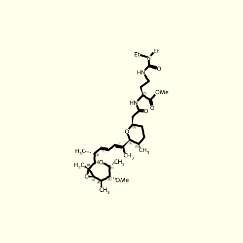 CCN(CC)C(=O)NCC[C@H](NC(=O)C[C@H]1CC[C@H](C)[C@@H](/C(C)=C/C=C/[C@@H](C)C[C@@]2(C)O[C@@H]2[C@H](C)[C@@H](OC)[C@@H](C)O)O1)C(=O)OC